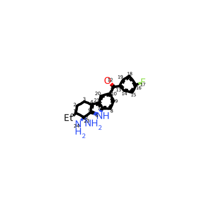 CCC1CCc2c([nH]c3ccc(C(=O)c4ccc(F)cc4)cc23)C1(N)N